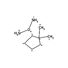 CC1(C)CCCC1.[SiH3]O[SiH3]